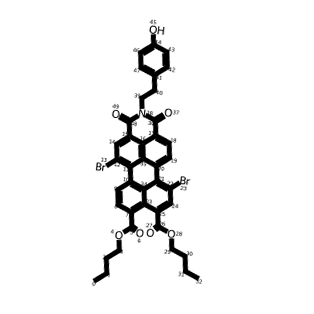 CCCCOC(=O)c1ccc2c3c(Br)cc4c5c(ccc(c6c(Br)cc(C(=O)OCCCC)c1c26)c53)C(=O)N(CCc1ccc(O)cc1)C4=O